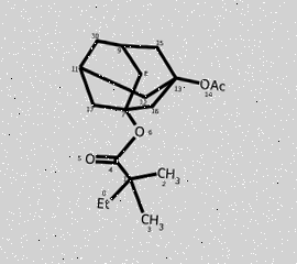 CCC(C)(C)C(=O)OC12CC3CC(CC(OC(C)=O)(C3)C1)C2